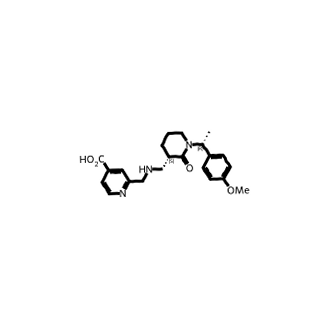 COc1ccc([C@@H](C)N2CCC[C@@H](CNCc3cc(C(=O)O)ccn3)C2=O)cc1